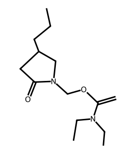 C=C(OCN1CC(CCC)CC1=O)N(CC)CC